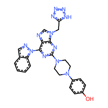 Oc1ccc(N2CCN(c3nc(-n4ncc5ccccc54)c4ncn(Cc5nnn[nH]5)c4n3)CC2)cc1